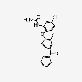 NC(=O)Nc1cc(Cl)ccc1Oc1ccc(C(=O)c2ccccc2)cc1Cl